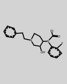 CCC(=O)N(c1ccccc1F)C1CCN(CCc2ccccc2)CC1O